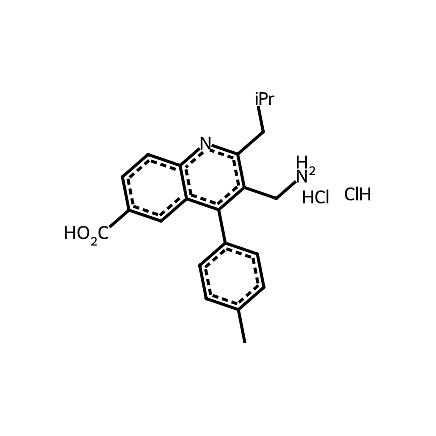 Cc1ccc(-c2c(CN)c(CC(C)C)nc3ccc(C(=O)O)cc23)cc1.Cl.Cl